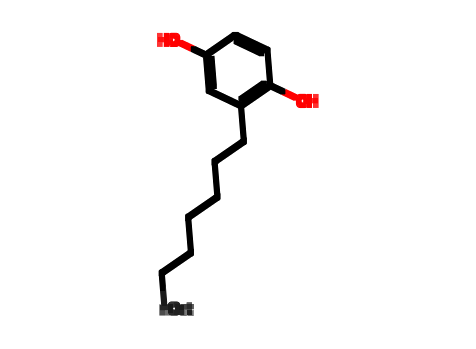 CCCCCCCCCCCCCCc1cc(O)ccc1O